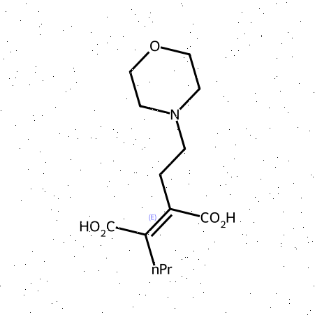 CCC/C(C(=O)O)=C(/CCN1CCOCC1)C(=O)O